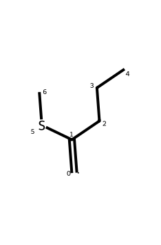 [CH]=C(CCC)SC